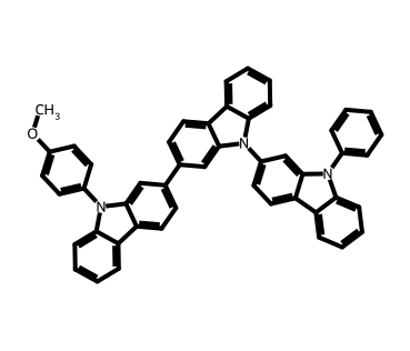 COc1ccc(-n2c3ccccc3c3ccc(-c4ccc5c6ccccc6n(-c6ccc7c8ccccc8n(-c8ccccc8)c7c6)c5c4)cc32)cc1